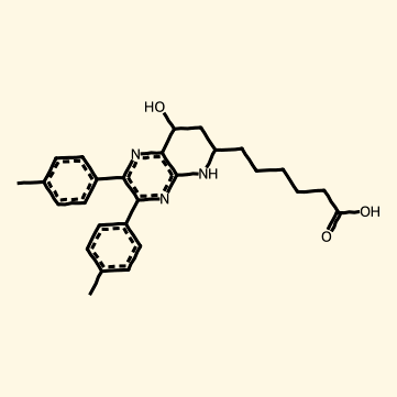 Cc1ccc(-c2nc3c(nc2-c2ccc(C)cc2)C(O)CC(CCCCCC(=O)O)N3)cc1